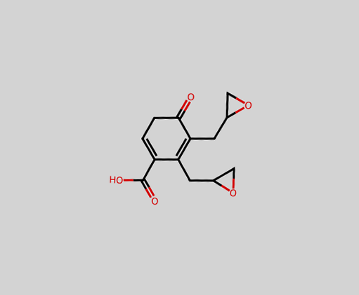 O=C(O)C1=CCC(=O)C(CC2CO2)=C1CC1CO1